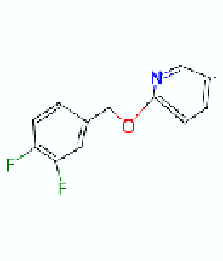 Fc1ccc(COc2cc[c]cn2)cc1F